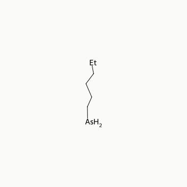 CCCCCC[AsH2]